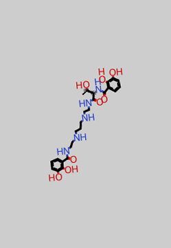 C[C@@H](O)[C@H](NC(=O)c1cccc(O)c1O)C(=O)NCCNCCCNCCNC(=O)c1cccc(O)c1O